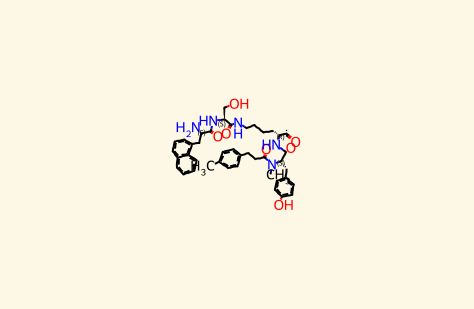 Cc1ccc(CCC(=O)N(C)[C@@H](Cc2ccc(O)cc2)C(=O)N[C@@H]([C]=O)CCCCNC(=O)[C@H](CO)NC(=O)[C@@H](N)Cc2cccc3ccccc23)cc1